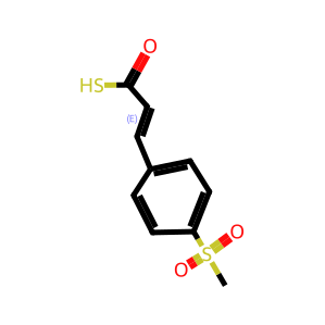 CS(=O)(=O)c1ccc(/C=C/C(=O)S)cc1